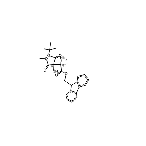 COC(=O)[C@](N)(C(=O)OC(C)(C)C)[C@@](C)(N)C(=O)OCC1c2ccccc2-c2ccccc21